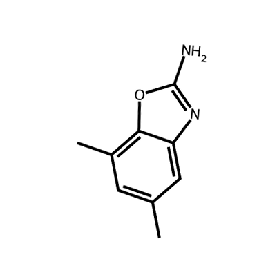 Cc1cc(C)c2oc(N)nc2c1